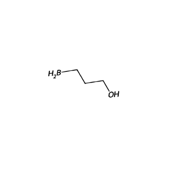 BCCCO